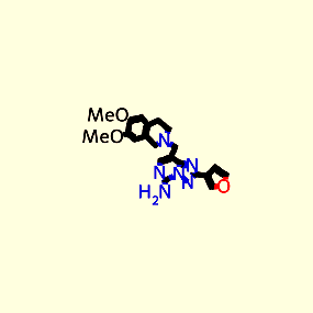 COc1cc2c(cc1OC)CN(Cc1cnc(N)n3nc(-c4ccoc4)nc13)CC2